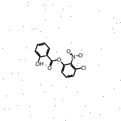 O=C(Oc1cccc(Cl)c1[N+](=O)[O-])c1ccccc1O